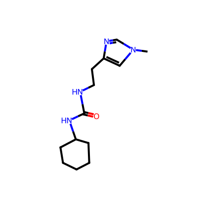 Cn1cnc(CCNC(=O)NC2CCCCC2)c1